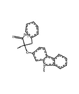 Cn1c2ccccc2c2ccc(OC(C)(Cc3ccccc3)C(N)=O)cc21